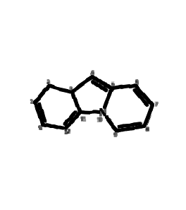 C1=CCC2C=C3C=CC=CN3C2=C1